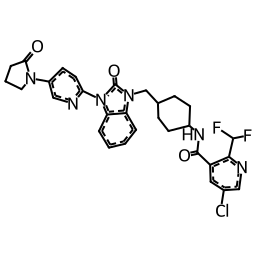 O=C(NC1CCC(Cn2c(=O)n(-c3ccc(N4CCCC4=O)cn3)c3ccccc32)CC1)c1cc(Cl)cnc1C(F)F